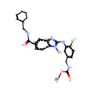 Cn1c(Nc2cc(CNC(=O)OC(C)(C)C)ccc2Cl)nc2cc(C(=O)NCC3CCCCC3)ccc21